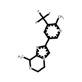 Cc1ncc(-c2cn3c(n2)C(C)OCC3)cc1C(F)(F)F